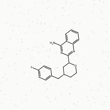 Nc1nc(C2CN(Cc3ccc(F)cc3)CCO2)nc2ccccc12